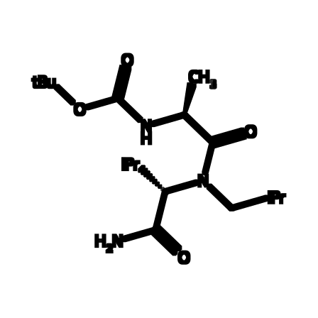 CC(C)CN(C(=O)[C@H](C)NC(=O)OC(C)(C)C)[C@H](C(N)=O)C(C)C